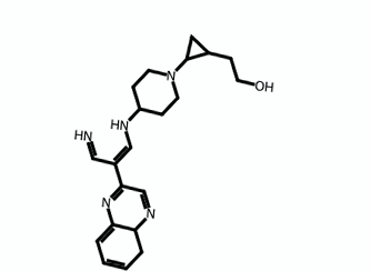 N=C/C(=C\NC1CCN(C2CC2CCO)CC1)C1=NC2=CC=CCC2N=C1